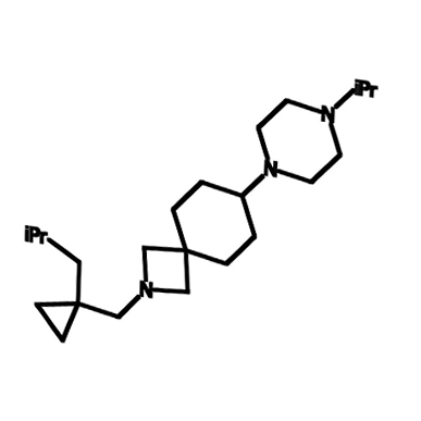 CC(C)CC1(CN2CC3(CCC(N4CCN(C(C)C)CC4)CC3)C2)CC1